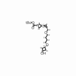 CC(C)(C)OC(=O)N1CC([C@@H]2C[C@H]2COCCCCO[C@H]2C[C@@H](O)C2)C1